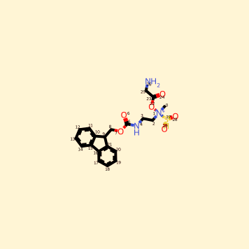 C[N+](CCNC(=O)OCC1c2ccccc2-c2ccccc21)(OC(=O)CN)[SH](=O)=O